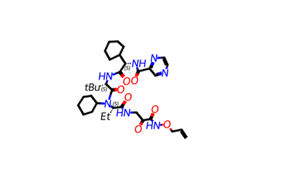 C=CCONC(=O)C(=O)CNC(=O)[C@H](CC)N(C(=O)[C@@H](NC(=O)[C@@H](NC(=O)c1cnccn1)C1CCCCC1)C(C)(C)C)C1CCCCC1